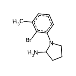 Cc1cccc(N2CCCC2N)c1Br